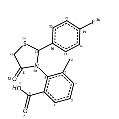 Cc1cccc(C(=O)O)c1N1C(=O)CSC1c1ccc(F)cc1